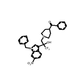 O=C(c1ccccc1)C1CCN(CC(O)(c2cn(Cc3ccccc3)c3cc([N+](=O)[O-])ccc23)C(F)(F)F)CC1